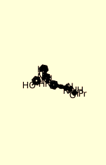 CC(C)C(=O)Nc1cnc(C#Cc2ccc(Nc3ncc(-c4ccccn4)c(N[C@H]4CC[C@H](O)CC4)n3)cc2)cn1